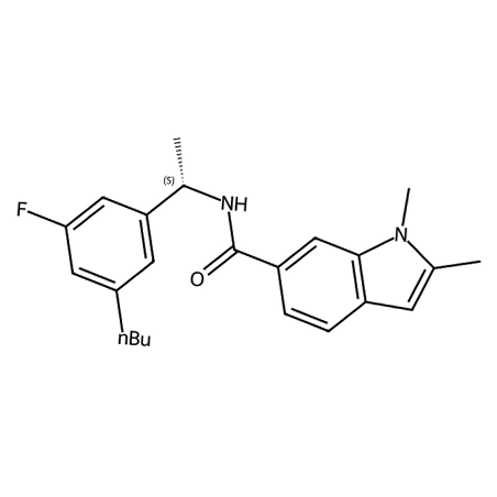 CCCCc1cc(F)cc([C@H](C)NC(=O)c2ccc3cc(C)n(C)c3c2)c1